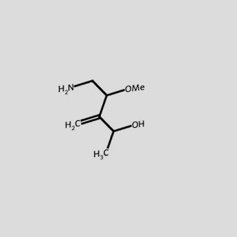 C=C(C(C)O)C(CN)OC